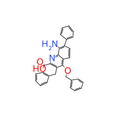 Nc1c(-c2ccccc2)ccc2c(OCc3ccccc3)c(Cc3ccccc3)c(C(=O)O)nc12